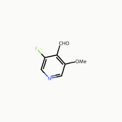 COc1cncc(F)c1C=O